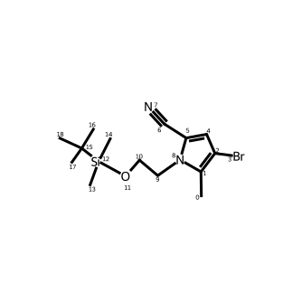 Cc1c(Br)cc(C#N)n1CCO[Si](C)(C)C(C)(C)C